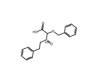 O=C(O)C(OCc1ccccc1)[PH](=O)CCc1ccccc1